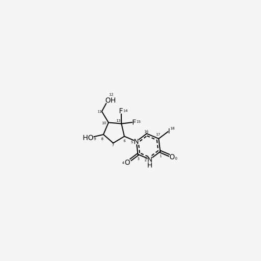 O=c1[nH]c(=O)n(C2CC(O)C(CO)C2(F)F)cc1I